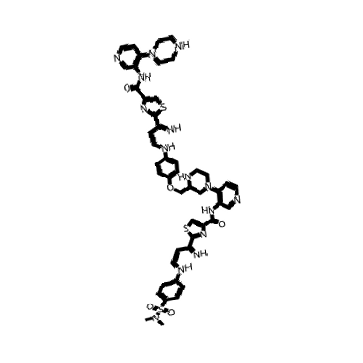 CN(C)S(=O)(=O)c1ccc(N/C=C\C(=N)c2nc(C(=O)Nc3cnccc3N3CCNC(COc4ccc(N/C=C\C(=N)c5nc(C(=O)Nc6cnccc6N6CCNCC6)cs5)cc4)C3)cs2)cc1